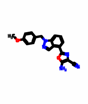 COc1ccc(Cn2ncc3c(-c4nc(C#N)c(N)o4)cccc32)cc1